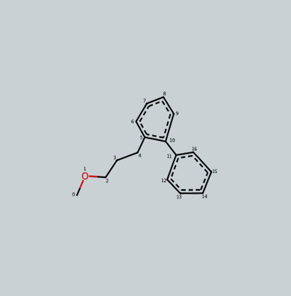 COCCCc1ccccc1-c1ccccc1